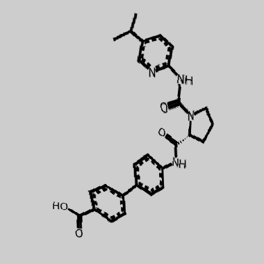 CC(C)c1ccc(NC(=O)N2CCC[C@@H]2C(=O)Nc2ccc(-c3ccc(C(=O)O)cc3)cc2)nc1